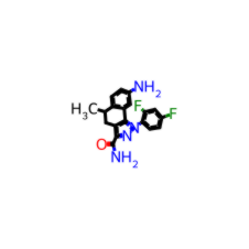 CC1Cc2c(C(N)=O)nn(-c3ccc(F)cc3F)c2-c2cc(N)ccc21